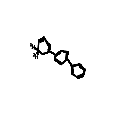 [2H]C1([2H])C=CC=C(c2ccc(-c3ccccc3)cc2)C1